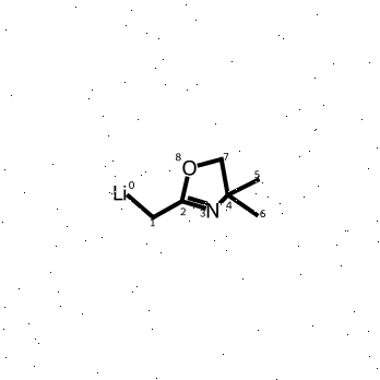 [Li][CH2]C1=NC(C)(C)CO1